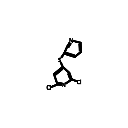 Clc1cc(Sc2cccnc2)cc(Cl)n1